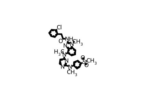 CN(c1ccc(S(C)(=O)=O)cc1)c1nccc(N(C)c2cccc3c2nc(NC(=O)Cc2ccccc2Cl)n3C)n1